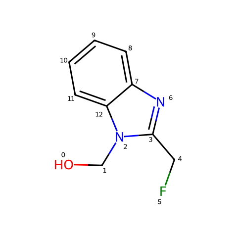 OCn1c(CF)nc2ccccc21